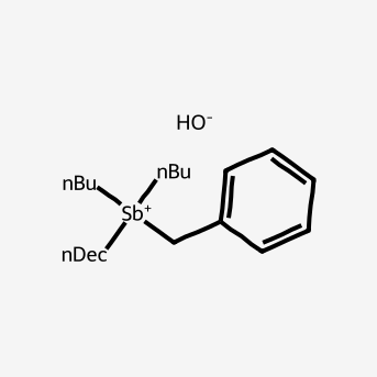 CCCCCCCCC[CH2][Sb+]([CH2]CCC)([CH2]CCC)[CH2]c1ccccc1.[OH-]